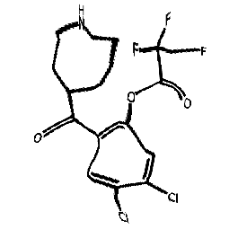 O=C(c1cc(Cl)c(Cl)cc1OC(=O)C(F)(F)F)C1CCNCC1